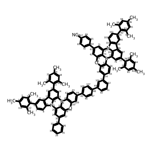 Cc1cc(C)c(-c2ccc3c(c2)c2cc(-c4c(C)cc(C)cc4C)cc4c2n3-c2cc(-c3ccccc3)cc3c2B4c2ccc(-c4ccc(-c5cccc(-c6ccc7c(c6)Oc6cc(-c8ccc(C#N)cc8)cc8c6B7c6cc(-c7c(C)cc(C)cc7C)cc7c9cc(-c%10c(C)cc(C)cc%10C)ccc9n-8c67)c5)cc4)cc2O3)c(C)c1